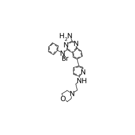 Nc1nc(N(Br)c2ccccc2)c2cc(-c3ccc(NCCN4CCOCC4)nc3)ccc2n1